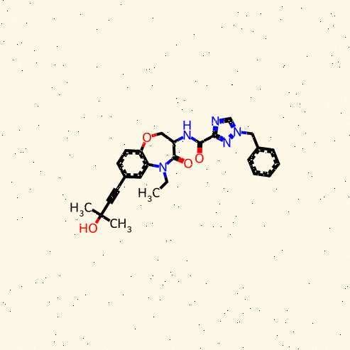 CCN1C(=O)C(NC(=O)c2ncn(Cc3ccccc3)n2)COc2ccc(C#CC(C)(C)O)cc21